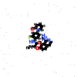 CCCC(Oc1ccc2ccnc(N)c2c1)C(=O)Nc1ccc(-n2ccccc2=O)cc1F